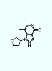 Cc1cnc(=O)c2c[nH]n(C3CCOC3)c1-2